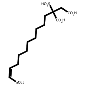 CCCCCCCC/C=C\CCCCCCCCC(CC(=O)O)(C(=O)O)S(=O)(=O)O